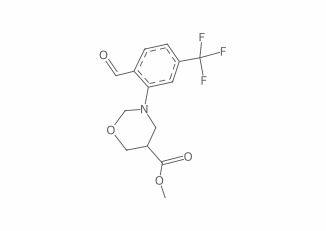 COC(=O)C1COCN(c2cc(C(F)(F)F)ccc2C=O)C1